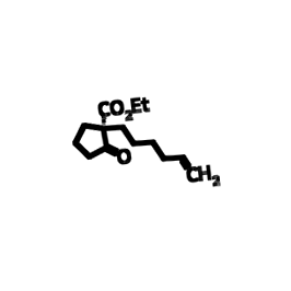 C=CCCCC[C@]1(C(=O)OCC)CCCC1=O